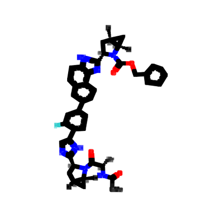 COC(=O)N[C@H](C(=O)N1[C@@H]2C[C@@H]2C[C@H]1c1ncc(-c2ccc(-c3ccc4c(ccc5[nH]c([C@@H]6C[C@H]7C[C@H]7N6C(=O)OCc6ccccc6)nc54)c3)cc2F)[nH]1)C(C)C